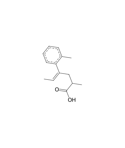 C/C=C(/CC(C)C(=O)O)c1ccccc1C